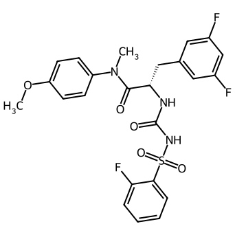 COc1ccc(N(C)C(=O)[C@H](Cc2cc(F)cc(F)c2)NC(=O)NS(=O)(=O)c2ccccc2F)cc1